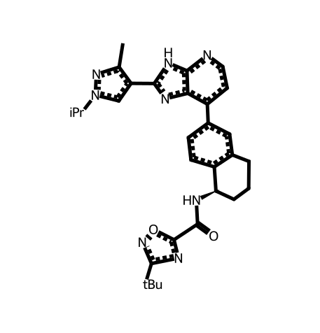 Cc1nn(C(C)C)cc1-c1nc2c(-c3ccc4c(c3)CCC[C@H]4NC(=O)c3nc(C(C)(C)C)no3)ccnc2[nH]1